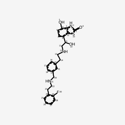 O=c1[nH]c2c(O)ccc(C(O)CNCCc3cccc(CNCCc4ccccc4F)c3)c2s1